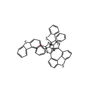 c1ccc(-c2nc(-c3ccc4sc5ccccc5c4c3)nc(-c3cccc4sc5cccc(-c6nc(-c7ccccc7)c7sc8ccccc8c7n6)c5c34)n2)cc1